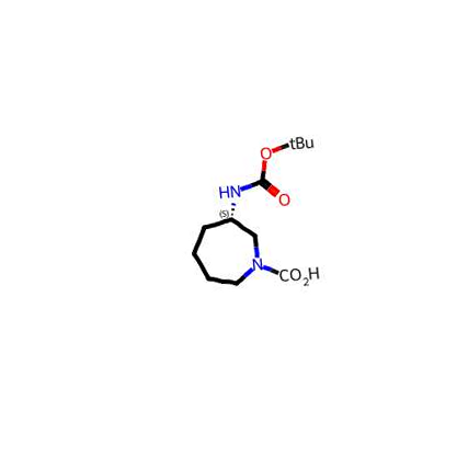 CC(C)(C)OC(=O)N[C@H]1CCCCN(C(=O)O)C1